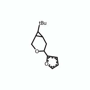 CC(C)(C)C1C2COC(c3ccco3)CC21